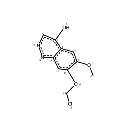 COc1cc2c(O)cnnc2cc1OCCl